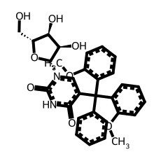 COc1ccccc1C(c1ccccc1)(c1ccccc1OC)c1cn([C@@H]2O[C@H](CO)[C@@H](O)[C@H]2O)c(=O)[nH]c1=O